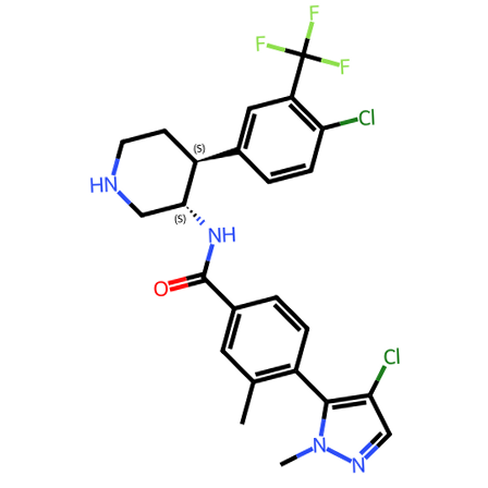 Cc1cc(C(=O)N[C@@H]2CNCC[C@H]2c2ccc(Cl)c(C(F)(F)F)c2)ccc1-c1c(Cl)cnn1C